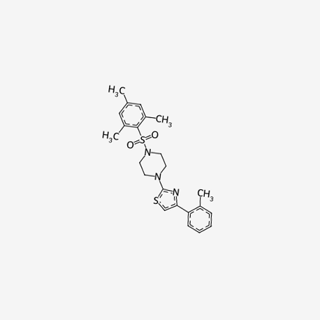 Cc1cc(C)c(S(=O)(=O)N2CCN(c3nc(-c4ccccc4C)cs3)CC2)c(C)c1